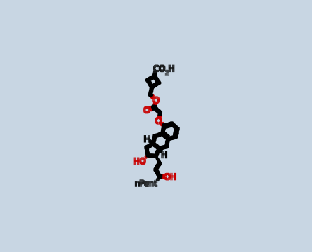 CCCCC[C@H](O)CC[C@@H]1[C@H]2Cc3cccc(OCC(=O)OCC4CC(C(=O)O)C4)c3C[C@H]2C[C@H]1O